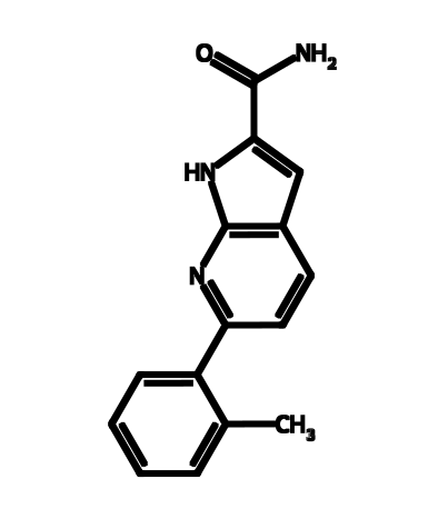 Cc1ccccc1-c1ccc2cc(C(N)=O)[nH]c2n1